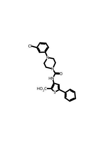 O=C(O)c1sc(-c2ccccc2)cc1NC(=O)N1CCN(c2cccc(Cl)c2)CC1